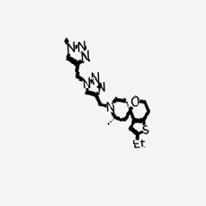 CCc1cc2c(s1)CCO[C@@]21CCN(Cc2cn(Cc3cn(C)nn3)nn2)[C@@H](C)C1